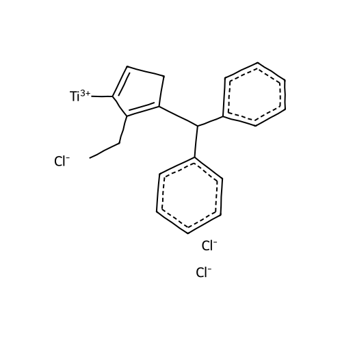 CCC1=C(C(c2ccccc2)c2ccccc2)CC=[C]1[Ti+3].[Cl-].[Cl-].[Cl-]